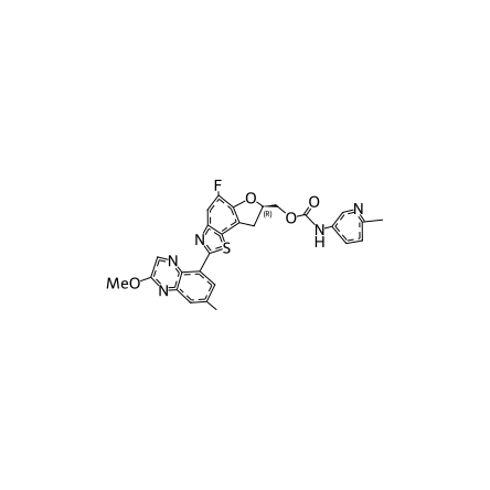 COc1cnc2c(-c3nc4cc(F)c5c(c4s3)C[C@H](COC(=O)Nc3ccc(C)nc3)O5)cc(C)cc2n1